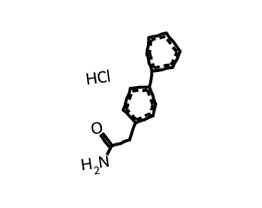 Cl.NC(=O)Cc1ccc(-c2ccccc2)cc1